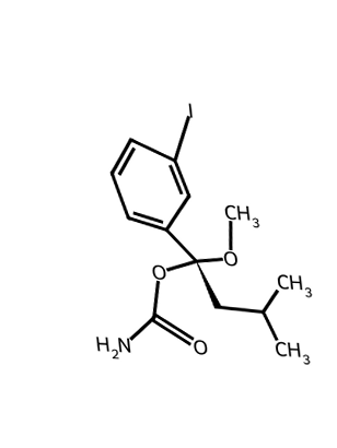 CO[C@](CC(C)C)(OC(N)=O)c1cccc(I)c1